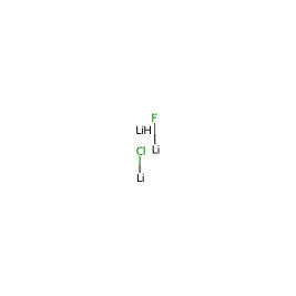 [LiH].[Li][Cl].[Li][F]